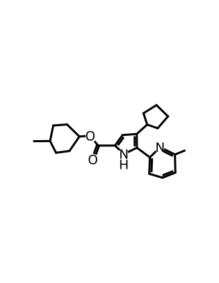 Cc1cccc(-c2[nH]c(C(=O)OC3CCC(C)CC3)cc2C2CCCC2)n1